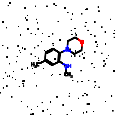 CNc1cc(C)ccc1N1CCOCC1